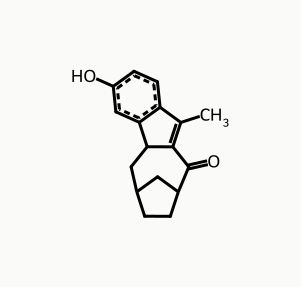 CC1=C2C(=O)C3CCC(C3)CC2c2cc(O)ccc21